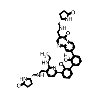 CCNc1nc(-c2cccc(-c3cccc(-c4ccn5c(=O)c(CNC[C@@H]6CCC(=O)N6)cnc5c4)c3C)c2Cl)ccc1CNC[C@@H]1CCC(=O)N1